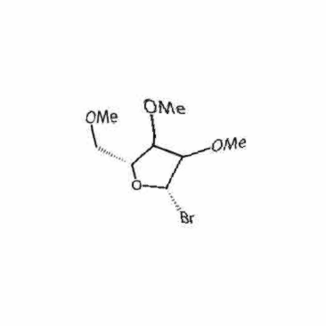 COC[C@H]1O[C@@H](Br)C(OC)C1OC